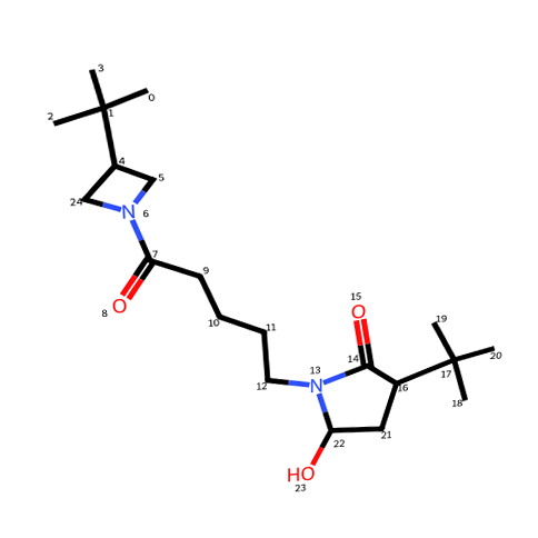 CC(C)(C)C1CN(C(=O)CCCCN2C(=O)C(C(C)(C)C)CC2O)C1